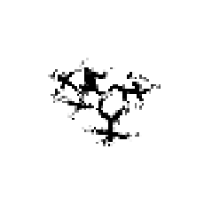 FC(F)=C(N1CC(C(F)(F)F)OC(C(F)(F)F)C1)N(C(F)(F)F)C(F)(F)F